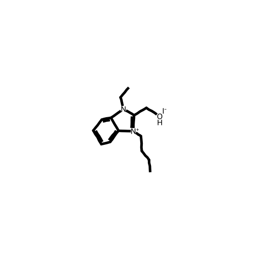 CCCC[n+]1c(CO)n(CC)c2ccccc21.[I-]